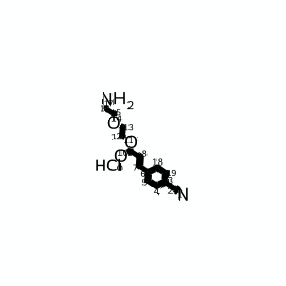 Cl.N#Cc1ccc(/C=C/C(=O)OCCOCCN)cc1